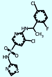 CC(Nc1ncc(S(=O)(=O)Nc2cscn2)cc1Cl)c1cc(Cl)ccc1F